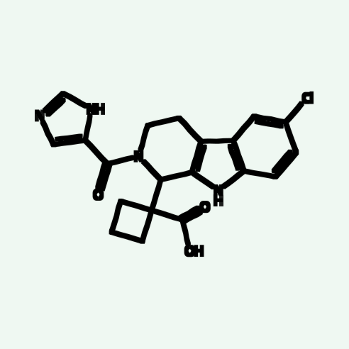 O=C(c1cnc[nH]1)N1CCc2c([nH]c3ccc(Cl)cc23)C1C1(C(=O)O)CCC1